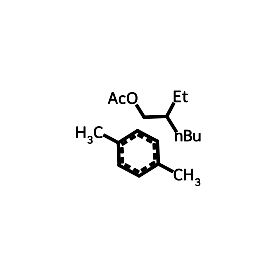 CCCCC(CC)COC(C)=O.Cc1ccc(C)cc1